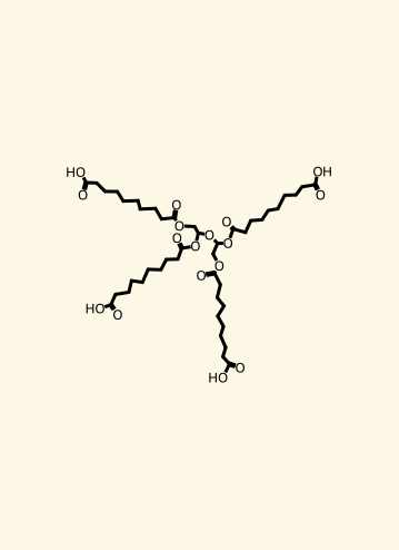 O=C(O)CCCCCCCCC(=O)OCC(OC(=O)CCCCCCCCC(=O)O)OC(COC(=O)CCCCCCCCC(=O)O)OC(=O)CCCCCCCCC(=O)O